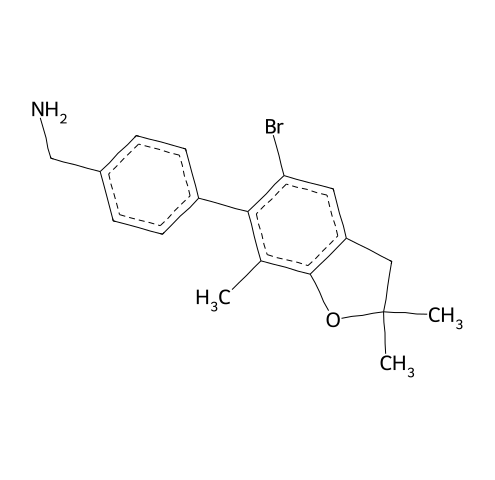 Cc1c2c(cc(Br)c1-c1ccc(CN)cc1)CC(C)(C)O2